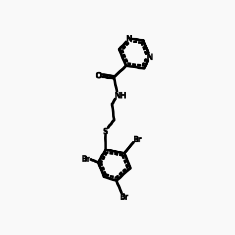 O=C(NCCSc1c(Br)cc(Br)cc1Br)c1cncnc1